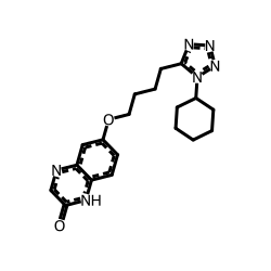 O=c1cnc2cc(OCCCCc3nnnn3C3CCCCC3)ccc2[nH]1